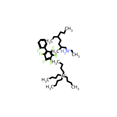 CCCC(CC)CCC(C)C[NH2+]CC.CCC[CH2][Al-]([CH2]CCC)([CH2]CCC)[CH2]CCC.Fc1ccccc1-c1c(F)c(F)c(F)c(F)c1F